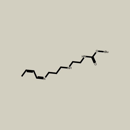 C/C=C\C=N/CCCNCCNC(=O)OC(C)(C)C